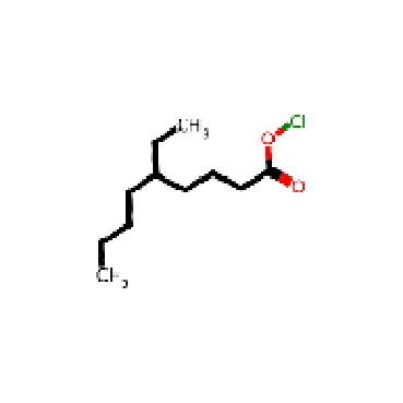 CCCCC(CC)CCCC(=O)OCl